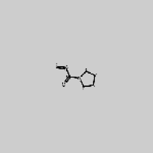 C=[C]C(=O)N1CCCC1